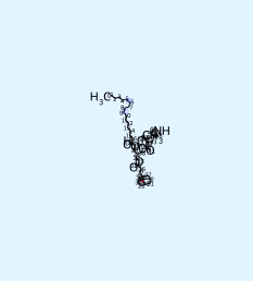 CCCCC/C=C\C/C=C\CCCCCCCC(=O)OCC(COC(=O)CCC12CC3CC(CC(C3)C1)C2)COC(=O)[C@H](Cc1cc[nH]c1)N(C)C